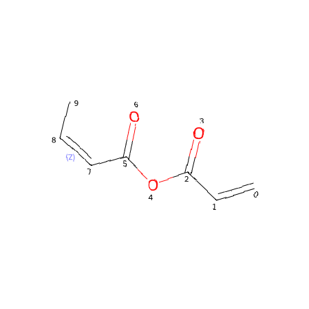 C=CC(=O)OC(=O)/C=C\C